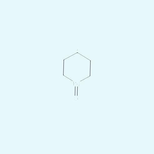 [O]=[Pd]1[CH2]CCC[CH2]1